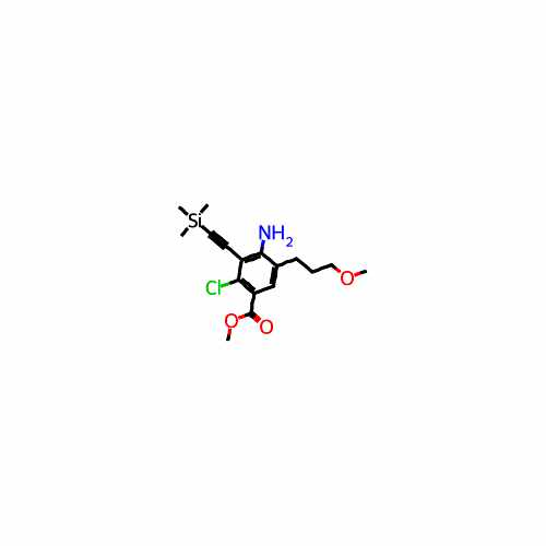 COCCCc1cc(C(=O)OC)c(Cl)c(C#C[Si](C)(C)C)c1N